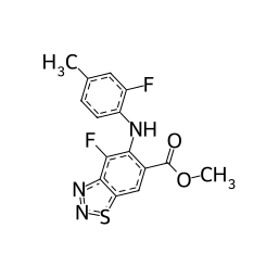 COC(=O)c1cc2snnc2c(F)c1Nc1ccc(C)cc1F